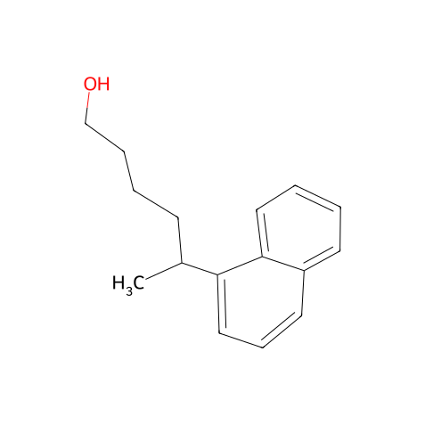 CC(CCCCO)c1cccc2ccccc12